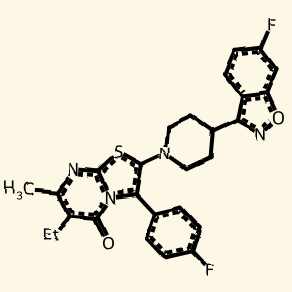 CCc1c(C)nc2sc(N3CCC(c4noc5cc(F)ccc45)CC3)c(-c3ccc(F)cc3)n2c1=O